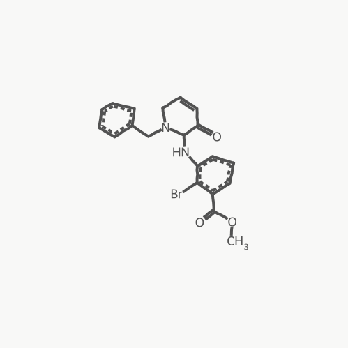 COC(=O)c1cccc(NC2C(=O)C=CCN2Cc2ccccc2)c1Br